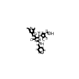 Cc1cc2c(c(C)n1)OC(c1c(Cl)nc(NCC3CCOCC3)nc1N[C@@H]1C[C@H](CO)[C@@H](C)[C@H]1C)C2